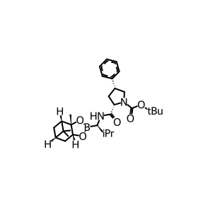 CC(C)[C@H](NC(=O)[C@@H]1C[C@H](c2ccccc2)CN1C(=O)OC(C)(C)C)B1O[C@@H]2C[C@@H]3C[C@@H](C3(C)C)[C@]2(C)O1